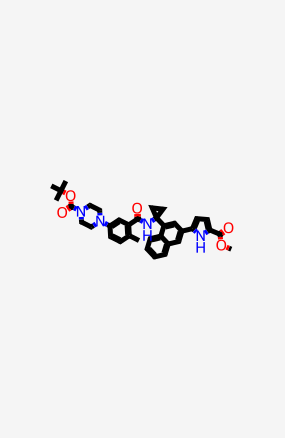 COC(=O)c1ccc(-c2cc(C3(NC(=O)c4cc(N5CCN(C(=O)OC(C)(C)C)CC5)ccc4C)CC3)c3ccccc3c2)[nH]1